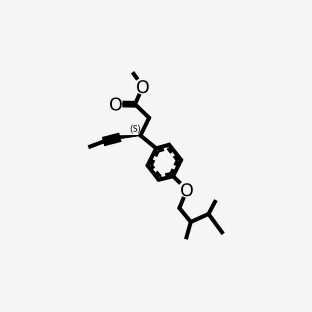 CC#C[C@@H](CC(=O)OC)c1ccc(OCC(C)C(C)C)cc1